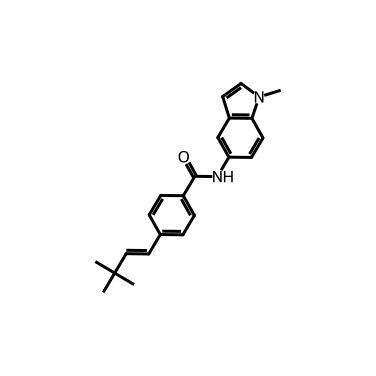 Cn1ccc2cc(NC(=O)c3ccc(C=CC(C)(C)C)cc3)ccc21